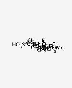 COc1cc(C(C)(C)c2cnc(SCc3c(F)cc(C(=O)NCC[N+](C)(C)CCCS(=O)(=O)O)cc3Cl)n2-c2ccc(F)cc2)ccc1Cl